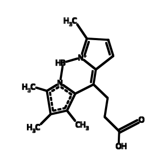 CC1=[N+]2Bn3c(C)c(C)c(C)c3C(CCC(=O)O)=C2C=C1